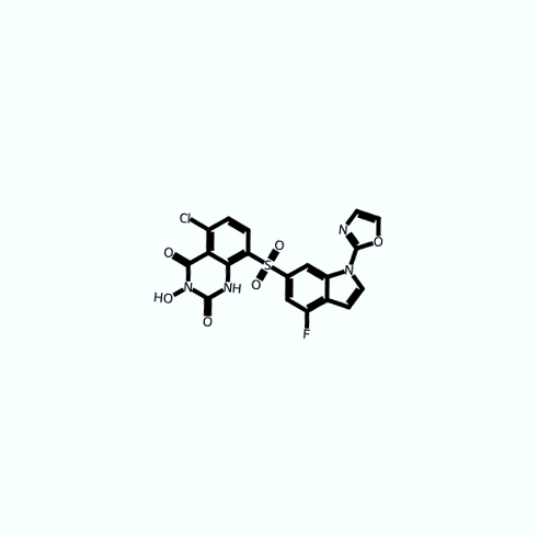 O=c1[nH]c2c(S(=O)(=O)c3cc(F)c4ccn(-c5ncco5)c4c3)ccc(Cl)c2c(=O)n1O